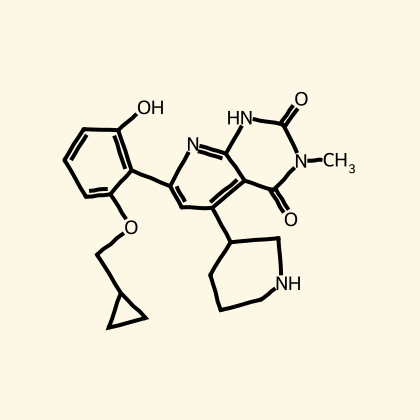 Cn1c(=O)[nH]c2nc(-c3c(O)cccc3OCC3CC3)cc(C3CCCNC3)c2c1=O